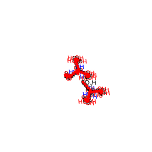 O=C(CN(CC(=O)NCCO[C@@H]1O[C@H](CO)[C@@H](O)[C@H](O)[C@H]1O)CC(=O)NCCO[C@@H]1O[C@H](CO)[C@@H](O)[C@H](O)[C@H]1O)NCCCCCC(=O)ON1C(=O)CCC1=O.O=C(O)CCCCCNC(=O)CN(CC(=O)NCCO[C@@H]1O[C@H](CO)[C@@H](O)[C@H](O)[C@H]1O)CC(=O)NCCO[C@@H]1O[C@H](CO)[C@@H](O)[C@H](O)[C@H]1O